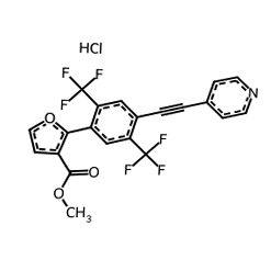 COC(=O)c1ccoc1-c1cc(C(F)(F)F)c(C#Cc2ccncc2)cc1C(F)(F)F.Cl